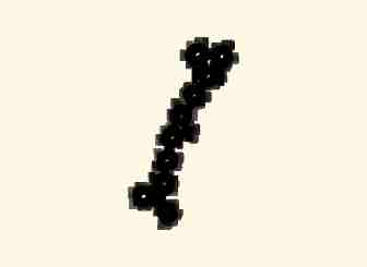 CC1(C)c2cc(-c3ccc(-c4ccc5c(c4)c4ccccc4n5-c4ccccc4)cc3)ccc2-c2ccc(-c3ccc(-c4cnc5c6ccccc6c6ccccc6c5n4)cc3)cc21